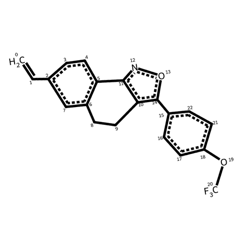 C=Cc1ccc2c(c1)CCc1c-2noc1-c1ccc(OC(F)(F)F)cc1